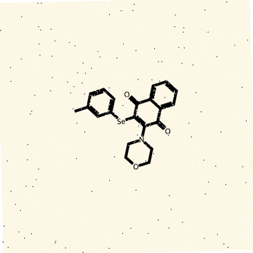 Cc1cccc([Se]C2=C(N3CCOCC3)C(=O)c3ccccc3C2=O)c1